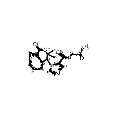 CC1(C)OC(=O)c2ccccc2C1n1cncc1C(=O)OCC(N)=O